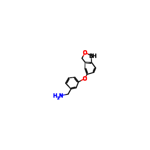 NCc1cccc(Oc2ccc3c(c2)COB3)c1